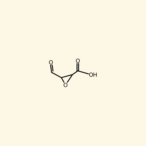 O=CC1OC1C(=O)O